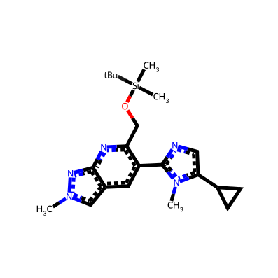 Cn1cc2cc(-c3ncc(C4CC4)n3C)c(CO[Si](C)(C)C(C)(C)C)nc2n1